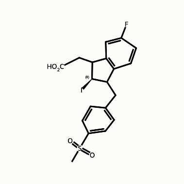 CS(=O)(=O)c1ccc(CC2c3ccc(F)cc3C(CC(=O)O)[C@@H]2I)cc1